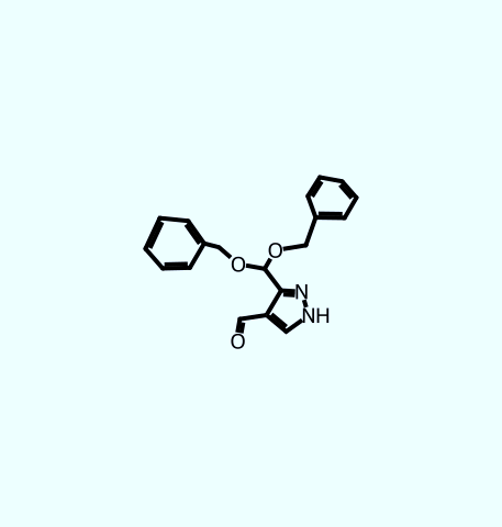 O=Cc1c[nH]nc1C(OCc1ccccc1)OCc1ccccc1